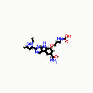 CCn1nc(C)cc1-c1ncc2c(n1)[nH]c1c(OCCCNC(=O)O)cc(C(N)=O)cc12